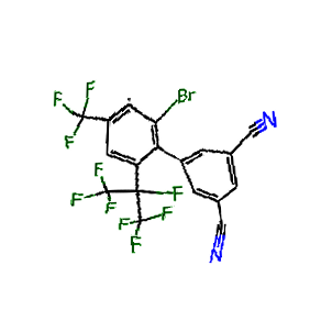 N#Cc1cc(C#N)cc(-c2c(Br)[c]c(C(F)(F)F)cc2C(F)(C(F)(F)F)C(F)(F)F)c1